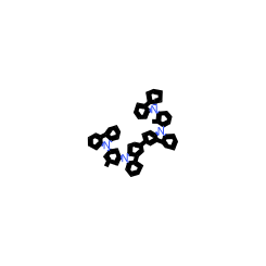 Cc1cc(-n2c3ccccc3c3ccccc32)cc(-n2c3ccccc3c3cc(-c4ccc5c(c4)c4ccccc4n5-c4cccc(-n5c6ccccc6c6ccccc65)c4C)ccc32)c1